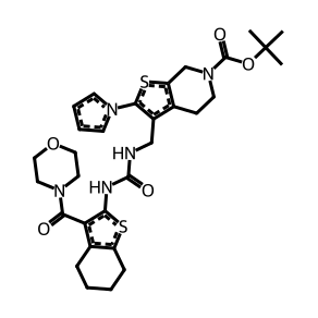 CC(C)(C)OC(=O)N1CCc2c(sc(-n3cccc3)c2CNC(=O)Nc2sc3c(c2C(=O)N2CCOCC2)CCCC3)C1